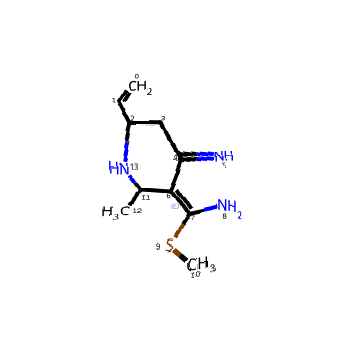 C=CC1CC(=N)/C(=C(\N)SC)C(C)N1